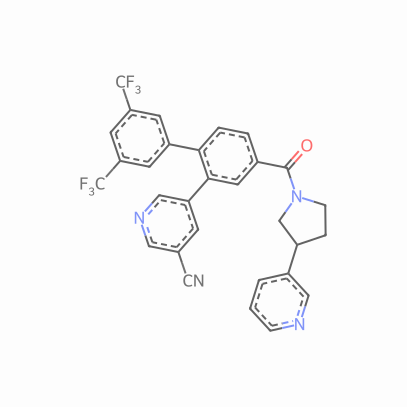 N#Cc1cncc(-c2cc(C(=O)N3CCC(c4cccnc4)C3)ccc2-c2cc(C(F)(F)F)cc(C(F)(F)F)c2)c1